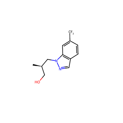 C[C@H](CO)Cn1ncc2ccc(C(F)(F)F)cc21